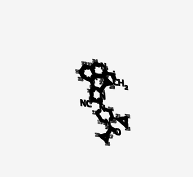 C=Cc1cc2c(-c3cc(C#N)c(N4CCN(C(=O)C5CC5)[C@H](C5CC5)C4)nc3C3CC3)cccc2cn1